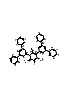 N#Cc1c(F)c(C#N)c(-c2cc(-c3ccccc3)cc(-c3ccccc3)c2)c(F)c1-c1cc(-c2ccccc2)cc(-c2ccccc2)c1